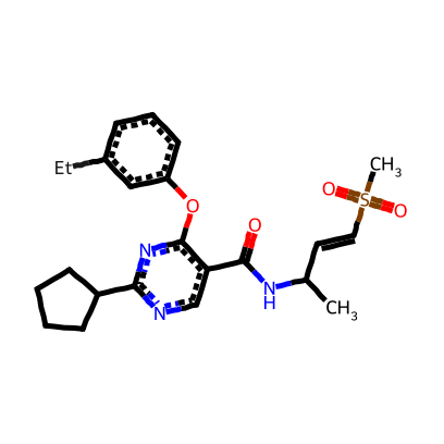 CCc1cccc(Oc2nc(C3CCCC3)ncc2C(=O)NC(C)C=CS(C)(=O)=O)c1